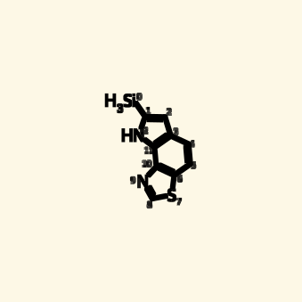 [SiH3]c1cc2ccc3scnc3c2[nH]1